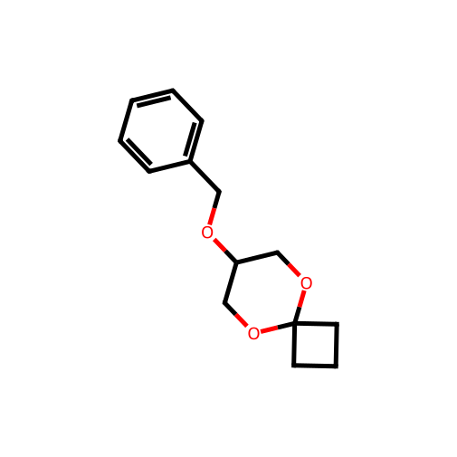 c1ccc(COC2COC3(CCC3)OC2)cc1